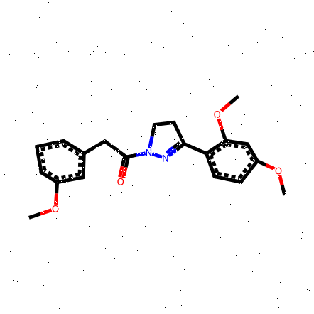 COc1cccc(CC(=O)N2CCC(c3ccc(OC)cc3OC)=N2)c1